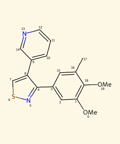 COc1cc(-c2nscc2-c2cccnc2)cc(C)c1OC